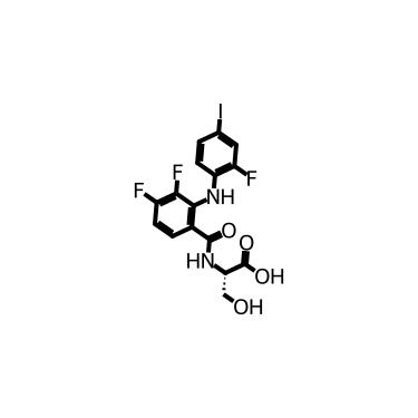 O=C(N[C@@H](CO)C(=O)O)c1ccc(F)c(F)c1Nc1ccc(I)cc1F